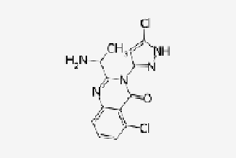 CC(N)c1nc2cccc(Cl)c2c(=O)n1-c1cc(Cl)[nH]n1